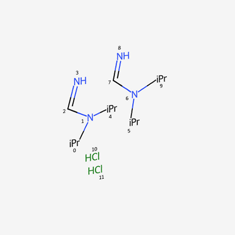 CC(C)N(C=N)C(C)C.CC(C)N(C=N)C(C)C.Cl.Cl